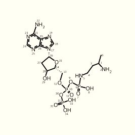 CC(N)CCNP(=O)(O)OP(=O)(OC[C@H]1O[C@@H](n2cnc3c(N)ncnc32)CC1O)OP(=O)(O)O